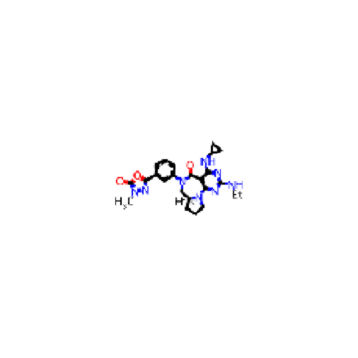 CCNc1nc(NC2CC2)c2c(n1)N1CCC[C@H]1CN(c1cccc(-c3nn(C)c(=O)o3)c1)C2=O